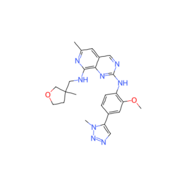 COc1cc(-c2cnnn2C)ccc1Nc1ncc2cc(C)nc(NCC3(C)CCOC3)c2n1